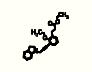 CCOC(=O)CCc1cccc(C#CCN2CCc3ccccc32)c1OCC